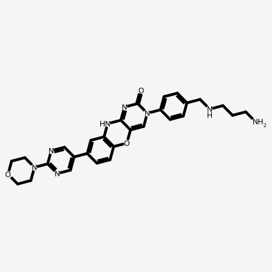 NCCCNCc1ccc(-n2cc3c(nc2=O)Nc2cc(-c4cnc(N5CCOCC5)nc4)ccc2O3)cc1